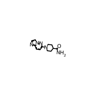 NC(=O)C1CCN(c2ccc3nccn3n2)CC1